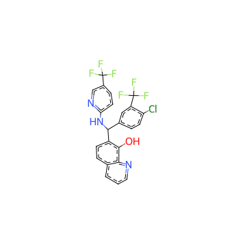 Oc1c(C(Nc2ccc(C(F)(F)F)cn2)c2ccc(Cl)c(C(F)(F)F)c2)ccc2cccnc12